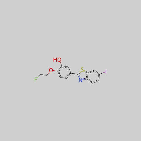 Oc1cc(-c2nc3ccc(I)cc3s2)ccc1OCCF